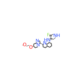 COCCOc1ccn2c(-c3ccc4cccc(N[C@H]5CCNC[C@H]5F)c4n3)cnc2c1